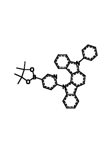 CC1(C)OB(c2ccc(-n3c4ccccc4c4ccc5c(c6ccccc6n5-c5ccccc5)c43)nc2)OC1(C)C